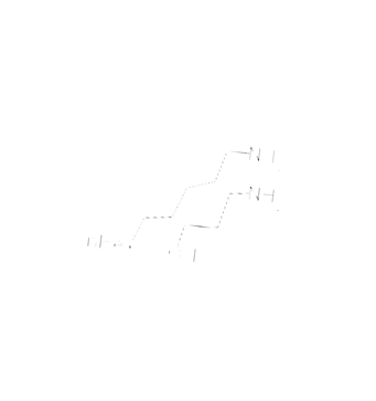 CCCCCCCCCCCN.NCCCO